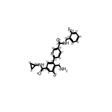 NCc1c(F)cc(C(=O)NC2CC2)cc1-c1ccc(C(=O)NCc2ccccc2F)cn1